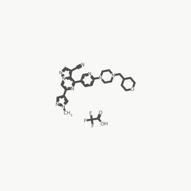 Cn1cc(-c2cn3ncc(C#N)c3c(-c3ccc(N4CCN(CC5CCOCC5)CC4)nc3)n2)cn1.O=C(O)C(F)(F)F